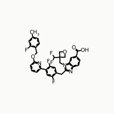 Cc1ccc(COc2cccc(-c3cc(F)c(Cc4nc5ccc(C(=O)O)cc5n4CC4(C(F)F)COC4)cc3F)n2)c(F)c1